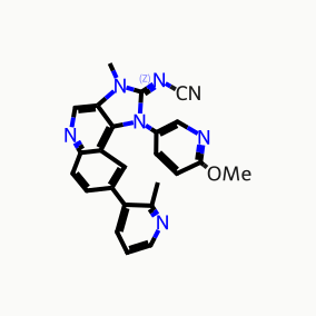 COc1ccc(-n2/c(=N\C#N)n(C)c3cnc4ccc(-c5cccnc5C)cc4c32)cn1